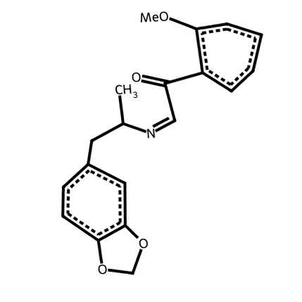 COc1ccccc1C(=O)/C=N\C(C)Cc1ccc2c(c1)OCO2